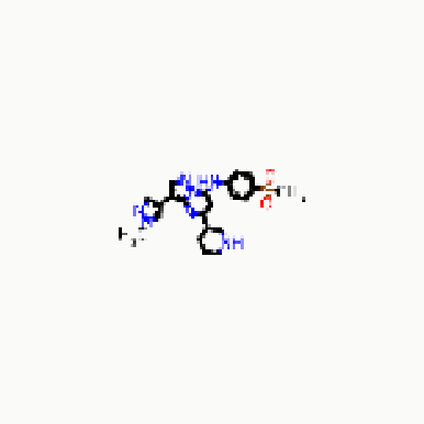 Cn1cc(-c2cnn3c(Nc4ccc(S(C)(=O)=O)cc4)cc(C4CCCNC4)nc23)cn1